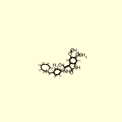 CC/C(Nc1ccc(CN2CCCCCC2)cc1)=C1/C(=O)Nc2cc(OC)c(OC)cc21